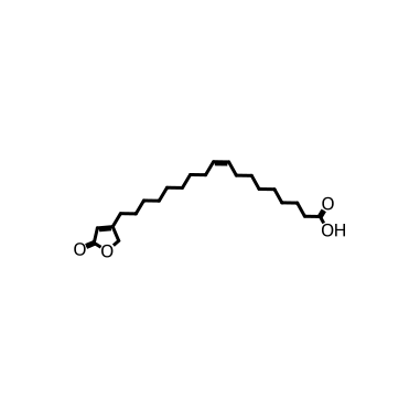 O=C(O)CCCCCCC/C=C\CCCCCCCCC1=CC(=O)OC1